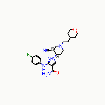 N#C[C@H]1CN(CCC2CCOCC2)CC[C@H]1n1cc(C(N)=O)c(Nc2ccc(F)cc2)n1